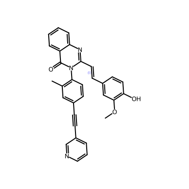 COc1cc(/C=C/c2nc3ccccc3c(=O)n2-c2ccc(C#Cc3cccnc3)cc2C)ccc1O